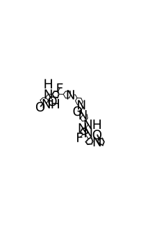 O=C1CCC(Nc2ccc(C3CCN(CC4CCN(CC(=O)N5CCC(Nc6ncc(F)c(-c7cccc(-n8ccccc8=O)c7)n6)CC5)CC4)CC3)c(F)c2)C(=O)N1